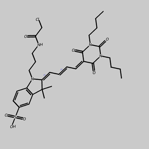 CCCCN1C(=O)C(=C/C=C/C=C2/N(CCCNC(=O)CCl)c3ccc(S(=O)(=O)O)cc3C2(C)C)C(=O)N(CCCC)C1=O